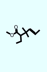 C/C=C/C(C)(C)C(CC)C(=O)OC